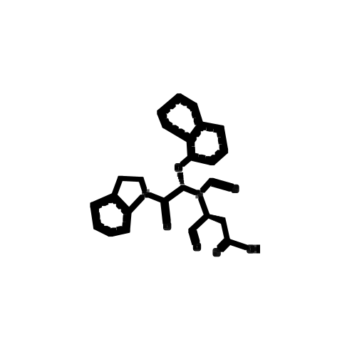 O=C[C@H](CC(=O)O)N(C=O)[C@@H](Oc1cccc2ccccc12)C(=O)N1CCc2ccccc21